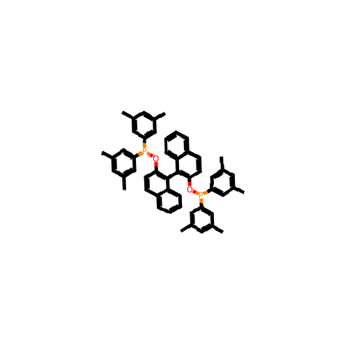 Cc1cc(C)cc(P(Oc2ccc3ccccc3c2-c2c(OP(c3cc(C)cc(C)c3)c3cc(C)cc(C)c3)ccc3ccccc23)c2cc(C)cc(C)c2)c1